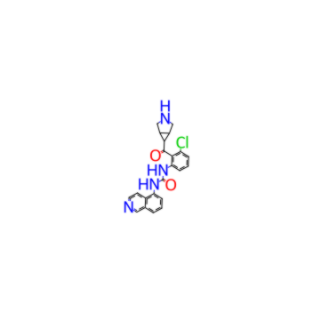 O=C(Nc1cccc(Cl)c1C(=O)C1C2CNCC21)Nc1cccc2cnccc12